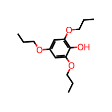 CCCOc1cc(OCCC)c(O)c(OCCC)c1